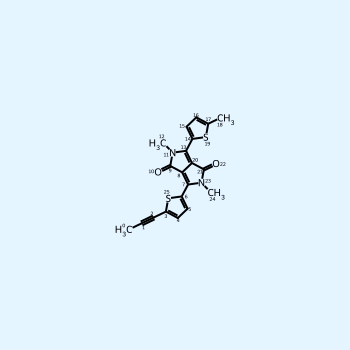 CC#Cc1ccc(C2=C3C(=O)N(C)C(c4ccc(C)s4)=C3C(=O)N2C)s1